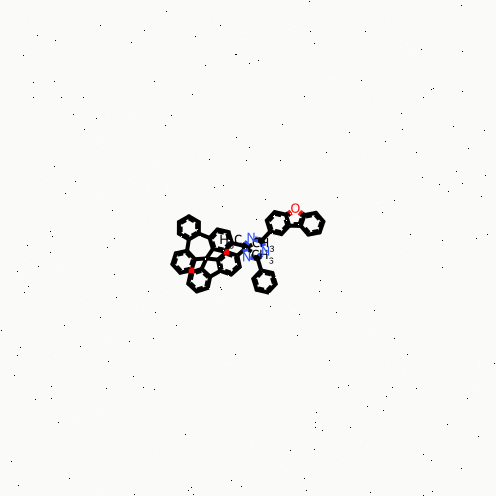 CC(C)(C)c1ccc2c(c1)C1(c3ccccc3-c3ccccc3-c3ccc(-c4nc(-c5ccccc5)nc(-c5ccc6oc7ccccc7c6c5)n4)cc31)c1ccccc1-2